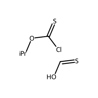 CC(C)OC(=S)Cl.OC=S